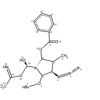 CCCCOC1[C@H](N=[N+]=[N-])C(C)C(OC(=O)c2ccccc2)[C@H]1[C@H](O)OC(=N)C(Cl)(Cl)Cl